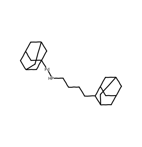 C(CCC1C2CC3CC(C2)CC1C3)C[PH][Pd][C]12CC3CC(CC(C3)C1)C2